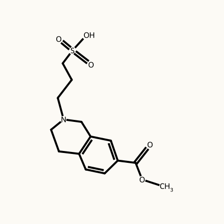 COC(=O)c1ccc2c(c1)CN(CCCS(=O)(=O)O)CC2